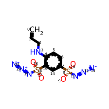 C=CCNc1ccc(S(=O)(=O)N=[N+]=[N-])cc1S(=O)(=O)N=[N+]=[N-]